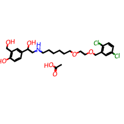 CC(=O)O.OCc1cc(C(O)CNCCCCCCOCCOCc2cc(Cl)ccc2Cl)ccc1O